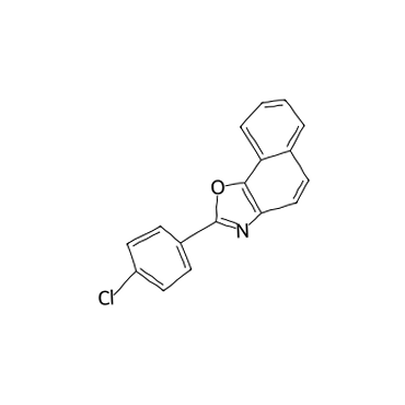 Clc1ccc(-c2nc3ccc4ccccc4c3o2)cc1